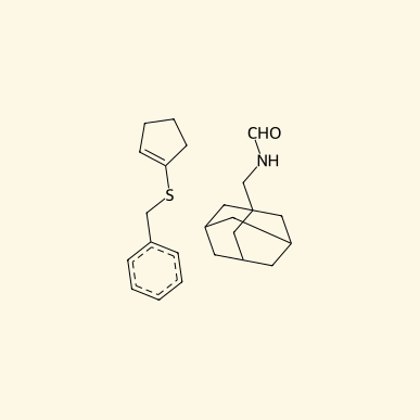 C1=C(SCc2ccccc2)CCC1.O=CNCC12CC3CC(CC(C3)C1)C2